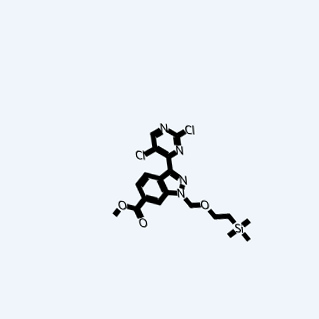 COC(=O)c1ccc2c(-c3nc(Cl)ncc3Cl)nn(COCC[Si](C)(C)C)c2c1